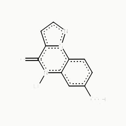 CCn1c(=O)c2ccnn2c2ccc(C(=O)O)cc21